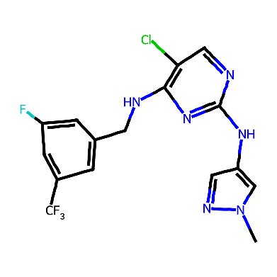 Cn1cc(Nc2ncc(Cl)c(NCc3cc(F)cc(C(F)(F)F)c3)n2)cn1